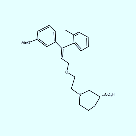 COc1cccc(C(=CCOCCN2CCC[C@@H](C(=O)O)C2)c2ccccc2C)c1